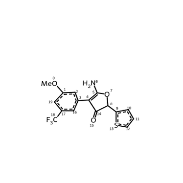 COc1cc(C2=C(N)OC(c3cccs3)C2=O)cc(C(F)(F)F)c1